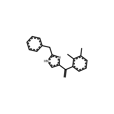 C=C(c1c[nH]c(Cc2ccccc2)n1)c1cccc(C)c1C